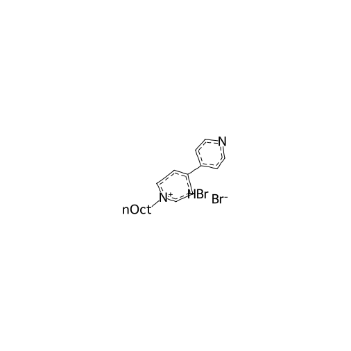 Br.CCCCCCCC[n+]1ccc(-c2ccncc2)cc1.[Br-]